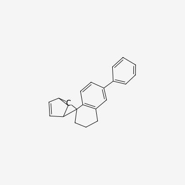 C1=CC2CC1CC21CCCc2cc(-c3ccccc3)ccc21